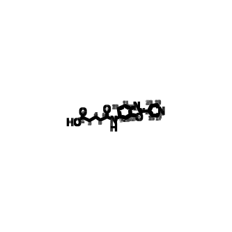 O=C(O)CCCC(=O)Nc1ccc2nc(-c3ccncc3)oc2c1